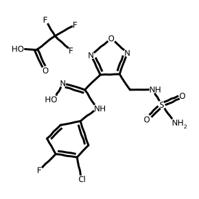 NS(=O)(=O)NCc1nonc1/C(=N/O)Nc1ccc(F)c(Cl)c1.O=C(O)C(F)(F)F